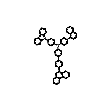 c1ccc2c(-c3ccc(N(c4ccc(-c5ccc(-c6cc7ccccc7c7ccccc67)cc5)cc4)c4ccc(-n5c6ccccc6c6ccccc65)cc4)cc3)cccc2c1